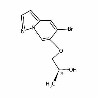 C[C@H](O)COc1cn2nccc2cc1Br